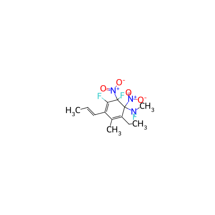 CC=CC1=C(F)C(F)([N+](=O)[O-])C(N(C)F)([N+](=O)[O-])C(CC)=C1C